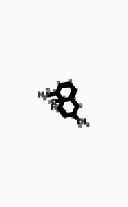 CC1C=CC2(C)C(=CC=CC2N)C1